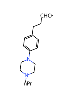 CCCN1CCN(c2ccc(CC[C]=O)cc2)CC1